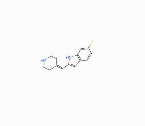 Fc1ccc2cc(C=C3CCNCC3)[nH]c2c1